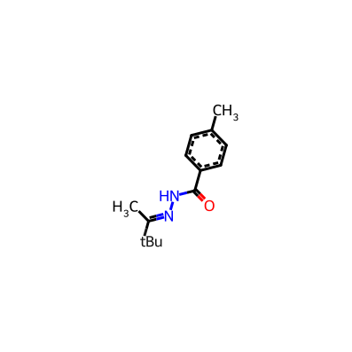 C/C(=N\NC(=O)c1ccc(C)cc1)C(C)(C)C